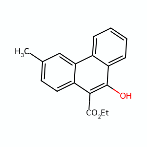 CCOC(=O)c1c(O)c2ccccc2c2cc(C)ccc12